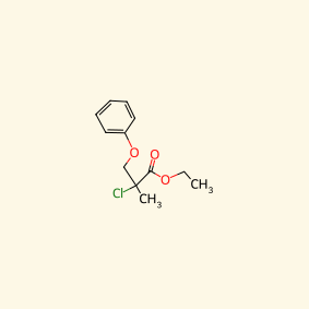 CCOC(=O)C(C)(Cl)COc1ccccc1